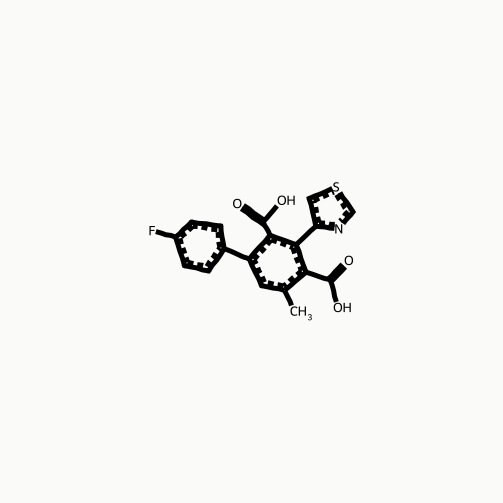 Cc1cc(-c2ccc(F)cc2)c(C(=O)O)c(-c2cscn2)c1C(=O)O